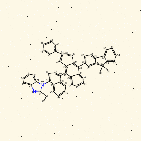 CCc1nc2ccccc2n1-c1ccc(-c2c3ccccc3c(-c3ccc4c(c3)C(C)(C)c3ccccc3-4)c3ccc(-c4ccccc4)cc23)c2ccccc12